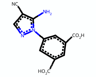 N#Cc1cnn(-c2cc(C(=O)O)cc(C(=O)O)c2)c1N